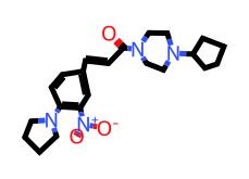 O=C(/C=C/c1ccc(N2CCCC2)c([N+](=O)[O-])c1)N1CCN(C2CCCC2)CC1